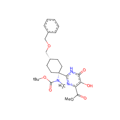 COC(=O)c1nc([C@]2(N(C)C(=O)OC(C)(C)C)CC[C@@H](COCc3ccccc3)CC2)[nH]c(=O)c1O